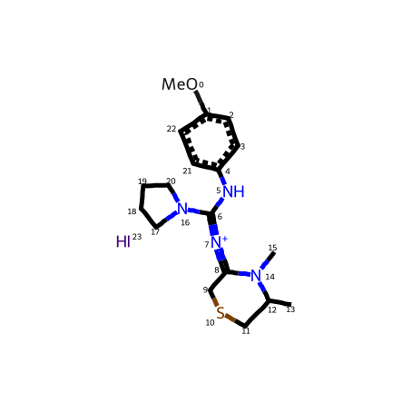 COc1ccc(NC(=[N+]=C2CSCC(C)N2C)N2CCCC2)cc1.I